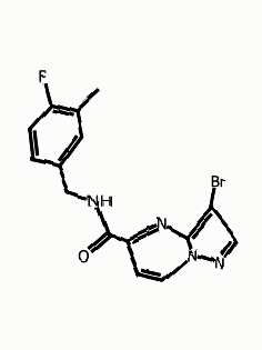 Cc1cc(CNC(=O)c2ccn3ncc(Br)c3n2)ccc1F